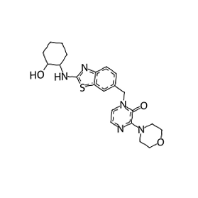 O=c1c(N2CCOCC2)nccn1Cc1ccc2nc(NC3CCCCC3O)sc2c1